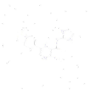 CCS(=O)(=O)N1CC=C(c2cnc(N)c(C(=O)Nc3cnccn3)n2)CC1